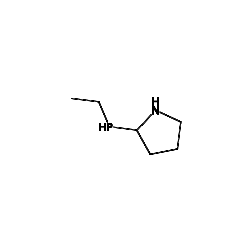 CCPC1CCCN1